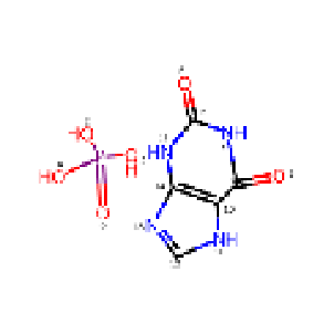 O=P(O)(O)O.O=c1[nH]c(=O)c2[nH]cnc2[nH]1